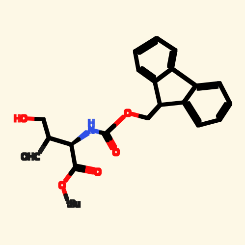 CC(C)(C)OC(=O)[C@H](NC(=O)OCC1c2ccccc2-c2ccccc21)C(C=O)CO